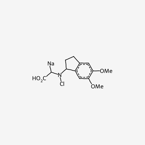 COc1cc2c(cc1OC)C(N(Cl)[CH]([Na])C(=O)O)CC2